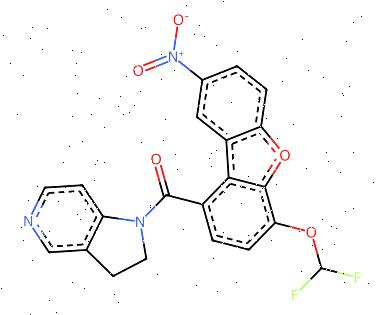 O=C(c1ccc(OC(F)F)c2oc3ccc([N+](=O)[O-])cc3c12)N1CCc2cnccc21